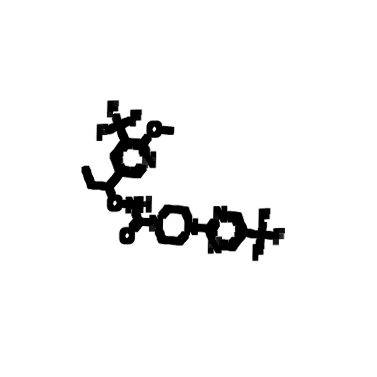 CCC(ONC(=O)N1CCN(c2ncc(C(F)(F)F)cn2)CC1)c1cnc(OC)c(C(F)(F)F)c1